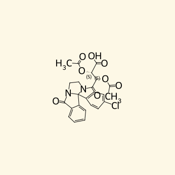 CC(=O)O[C@H](C(=O)O)[C@H](OC(C)=O)C(=O)N1CCN2C(=O)c3ccccc3C21c1ccc(Cl)cc1